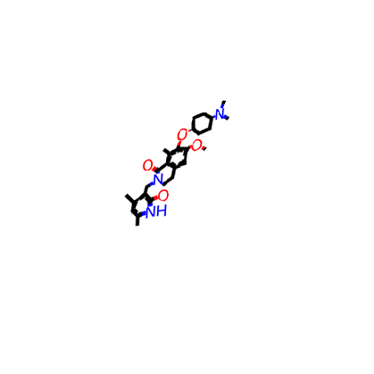 COc1cc2c(c(C)c1O[C@H]1CC[C@H](N(C)C)CC1)C(=O)N(Cc1c(C)cc(C)[nH]c1=O)CC2